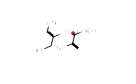 C=C(C#N)C(=O)OCC(C)C.CC(C)C/C(=C/C#N)C(=O)O